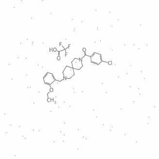 CCOc1ccccc1CN1CCC2(CC1)CCN(C(=O)c1ccc(Cl)cc1)CC2.O=C(O)C(F)(F)F